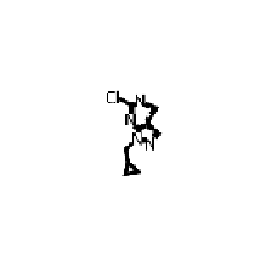 Clc1ncc2cnn(CC3CC3)c2n1